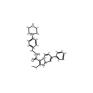 CCc1nc2cc(-c3ccccc3)ccn2c1C(=O)NCc1ccc(N2CCOCC2)cc1